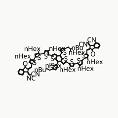 [C-]#[N+]/C(C#N)=C1\C(=C\c2cc(CCCCCC)c(-c3cc(CCCCCC)c(-c4cc(CCCCCC)c(-c5cc6c(-c7ccc(CC(CCCC)CCCCCC)s7)c7sc(-c8sc(-c9sc(-c%10sc(/C=C%11\C(=O)c%12ccccc%12\C%11=C(\C#N)[N+]#[C-])cc%10CCCCCC)cc9CCCCCC)cc8CCCCCC)cc7c(-c7ccc(CC(CCCC)CCCCCC)s7)c6s5)s4)s3)s2)C(=O)c2ccccc21